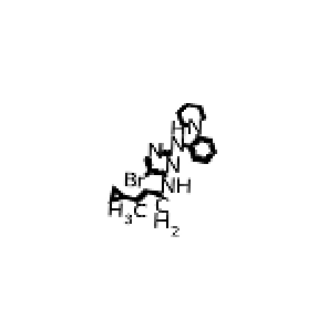 C=C(/C=C(\C)C1CC1)Nc1nc(Nc2ccccc2N2CCCCC2)ncc1Br